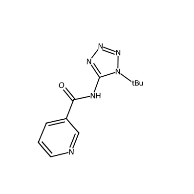 CC(C)(C)n1nnnc1NC(=O)c1cccnc1